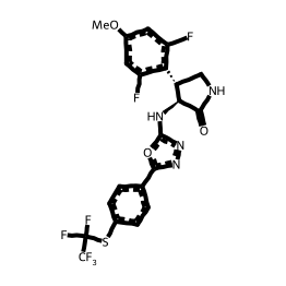 COc1cc(F)c([C@@H]2CNC(=O)[C@H]2Nc2nnc(-c3ccc(SC(F)(F)C(F)(F)F)cc3)o2)c(F)c1